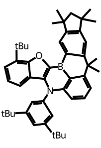 CC(C)(C)c1cc(N2c3cccc4c3B(c3cc5c(cc3C4(C)C)C(C)(C)CC5(C)C)c3oc4c(C(C)(C)C)cccc4c32)cc(C(C)(C)C)c1